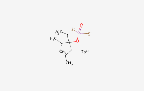 CCCC(CC)(OP(=O)([S-])[S-])C(C)C.[Zn+2]